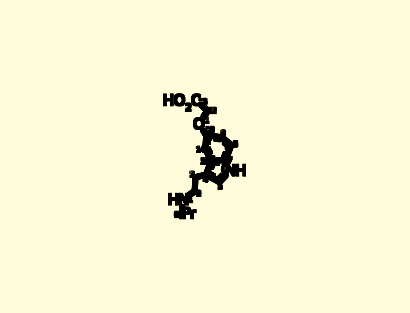 CC(C)NCCc1c[nH]c2ccc(OCC(=O)O)cc12